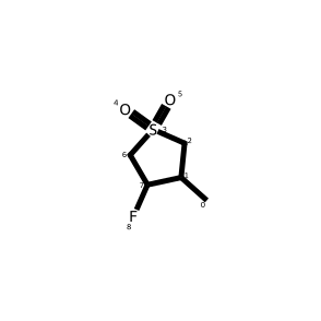 CC1CS(=O)(=O)CC1F